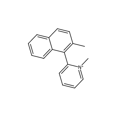 Cc1ccc2ccccc2c1-c1cccc[n+]1C